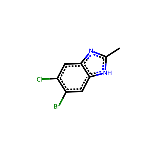 Cc1nc2cc(Cl)c(Br)cc2[nH]1